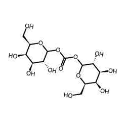 O=C(OC1O[C@H](CO)[C@H](O)[C@H](O)[C@H]1O)OC1O[C@H](CO)[C@H](O)[C@H](O)[C@H]1O